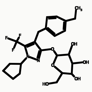 CCc1ccc(Cc2c(OC3OC(CO)C(O)C(O)C3O)nn(C3CCCC3)c2C(F)(F)F)cc1